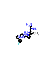 C=C/C=C(/c1cccc(-c2cnc(/C=C\C(=N)N3CCCC3c3cccc(F)c3)[nH]2)n1)C(N)CCC(N)CCN